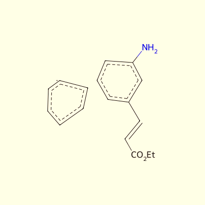 CCOC(=O)C=Cc1cccc(N)c1.[c]1ccccc1